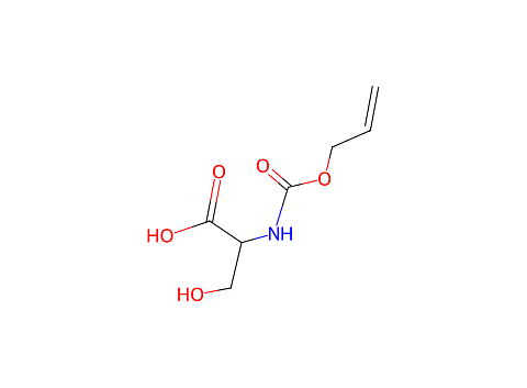 C=CCOC(=O)NC(CO)C(=O)O